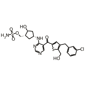 NS(=O)(=O)OC[C@H]1C[C@@H](Nc2ncncc2C(=O)c2cc(Cc3cccc(Cl)c3)c(CO)s2)C[C@@H]1O